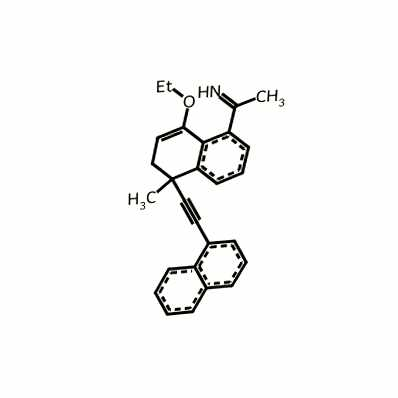 CCOC1=CCC(C)(C#Cc2cccc3ccccc23)c2cccc(C(C)=N)c21